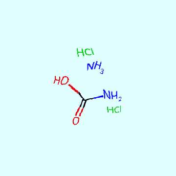 Cl.Cl.N.NC(=O)O